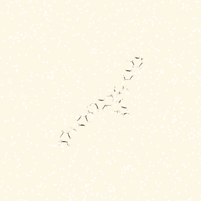 Cc1cc(C(=O)N2Cc3cc4c(cc3C[C@H]2C(=O)N[C@@H](Cc2ccc(-c3ccnc(C)c3C)cc2)C(=O)O)OC[C@H](c2ccc(OCc3ccc(Cl)c(Cl)c3)cc2)O4)n(C)n1